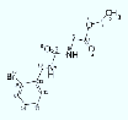 CCOC(=O)CNC(=O)NCc1ccccc1Br